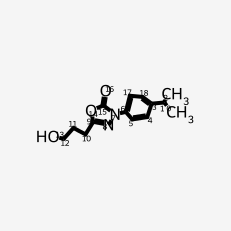 CC(C)c1ccc(-n2nc(CCCO)oc2=O)cc1